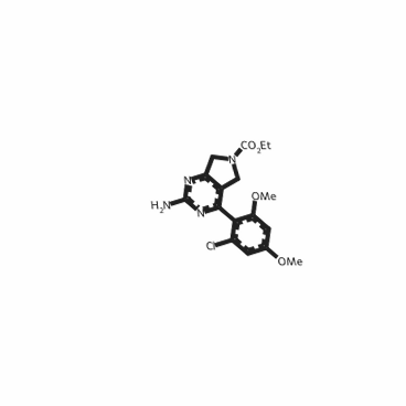 CCOC(=O)N1Cc2nc(N)nc(-c3c(Cl)cc(OC)cc3OC)c2C1